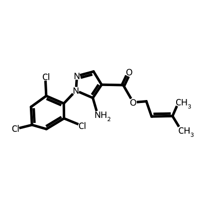 CC(C)=CCOC(=O)c1cnn(-c2c(Cl)cc(Cl)cc2Cl)c1N